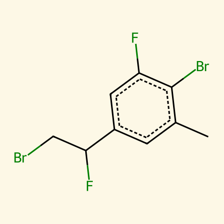 Cc1cc(C(F)CBr)cc(F)c1Br